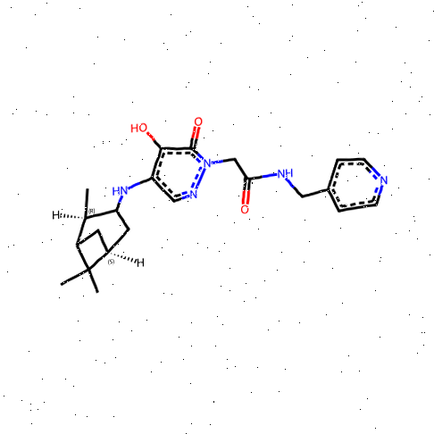 C[C@H]1C(Nc2cnn(CC(=O)NCc3ccncc3)c(=O)c2O)C[C@@H]2CC1C2(C)C